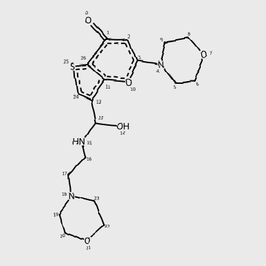 O=c1cc(N2CCOCC2)oc2c(C(O)NCCN3CCOCC3)csc12